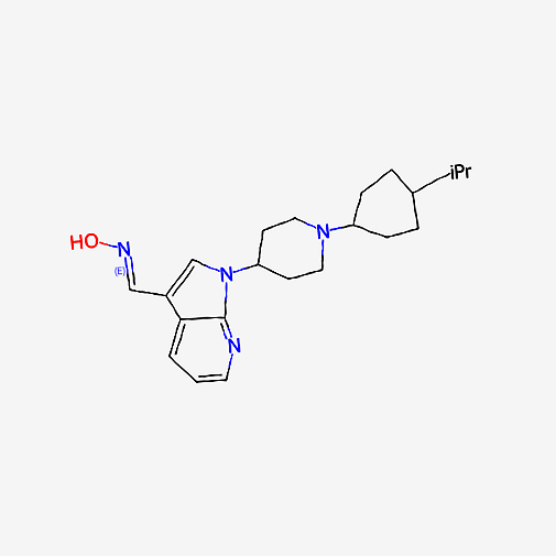 CC(C)C1CCC(N2CCC(n3cc(/C=N/O)c4cccnc43)CC2)CC1